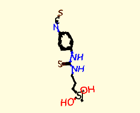 C[Si](O)(O)CCCNC(=S)Nc1ccc(N=C=S)cc1